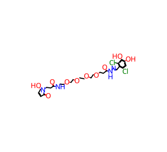 O=C(CCN1C(=O)C=C[C@@H]1O)NCCOCCOCCOCCOCCC(=O)NN=Cc1c(Cl)cc(O)c(O)c1Cl